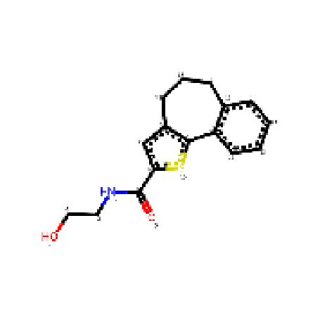 O=C(NCCO)c1cc2c(s1)-c1ccccc1CCC2